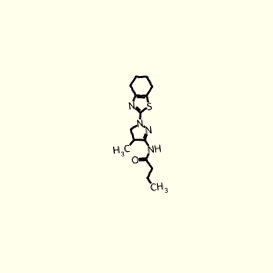 CCCC(=O)NC1=NN(c2nc3c(s2)CCCC3)CC1C